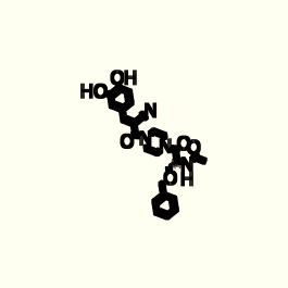 CC(=O)N[C@H](COCc1ccccc1)C(=O)N1CCN(C(=O)C(C#N)=Cc2ccc(O)c(O)c2)CC1